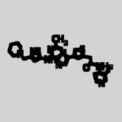 Cc1cn2c(-c3csc(CC(=O)Nc4ccncc4F)c3)cnc2c(Nc2cc(CN3CCCCC3)ns2)n1